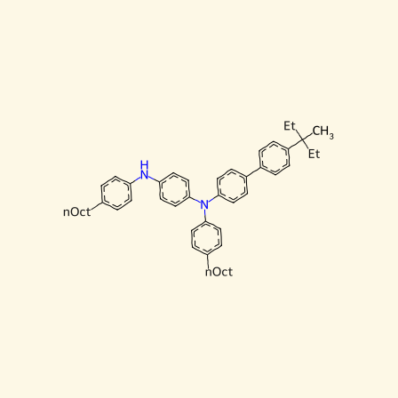 CCCCCCCCc1ccc(Nc2ccc(N(c3ccc(CCCCCCCC)cc3)c3ccc(-c4ccc(C(C)(CC)CC)cc4)cc3)cc2)cc1